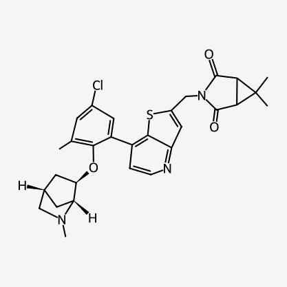 Cc1cc(Cl)cc(-c2ccnc3cc(CN4C(=O)C5C(C4=O)C5(C)C)sc23)c1O[C@@H]1C[C@@H]2C[C@H]1N(C)C2